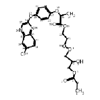 CCC(=O)OCC(O)COOCCOC(=O)C(C)Oc1ccc(Oc2cnc3cc(Cl)ccc3n2)cc1